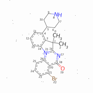 CC1(C)c2c(C3CCNCC3)cccc2-n2c1nc(=O)c1c(Br)cccc12